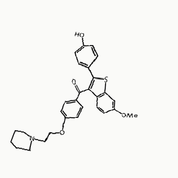 COc1ccc2c(C(=O)c3ccc(OCCN4CCCCC4)cc3)c(-c3ccc(O)cc3)sc2c1